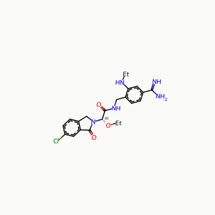 CCNc1cc(C(=N)N)ccc1CNC(=O)[C@H](OCC)N1Cc2ccc(Cl)cc2C1=O